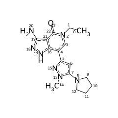 CCn1cc(-c2cc(N3CCCC3)n(C)n2)c2[nH]nc(N)c2c1=O